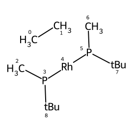 CC.C[P]([Rh][P](C)C(C)(C)C)C(C)(C)C